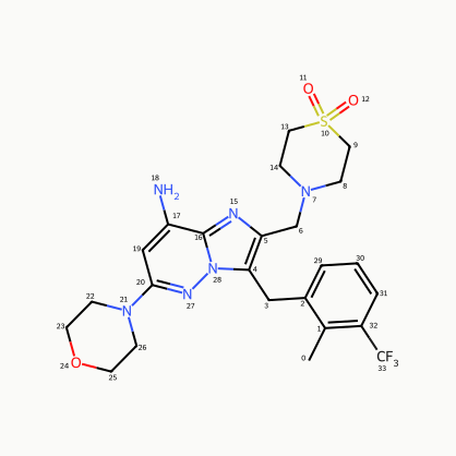 Cc1c(Cc2c(CN3CCS(=O)(=O)CC3)nc3c(N)cc(N4CCOCC4)nn23)cccc1C(F)(F)F